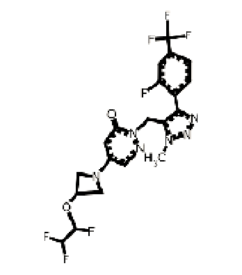 Cn1nnc(-c2ccc(C(F)(F)F)cc2F)c1Cn1ncc(N2CC(OC(F)C(F)F)C2)cc1=O